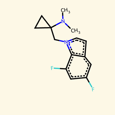 CN(C)C1(Cn2ccc3cc(F)cc(F)c32)CC1